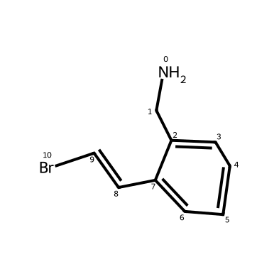 NCc1ccccc1C=CBr